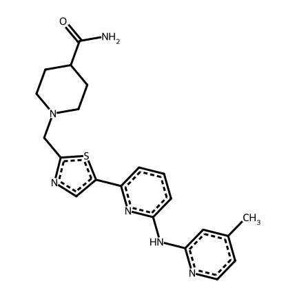 Cc1ccnc(Nc2cccc(-c3cnc(CN4CCC(C(N)=O)CC4)s3)n2)c1